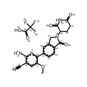 COc1cc(C#N)c(N)nc1-c1ccc2c(c1)CN(C1CCC(=O)NC1=O)C2=O.O=C(O)C(F)(F)F